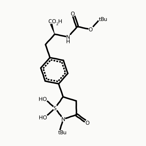 CC(C)(C)OC(=O)N[C@@H](Cc1ccc(C2CC(=O)N(C(C)(C)C)S2(O)O)cc1)C(=O)O